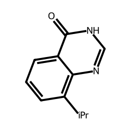 CC(C)c1cccc2c(=O)[nH]cnc12